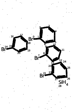 Brc1ccccc1.Brc1ccccc1.Brc1ccccc1.Brc1ccccc1.[SiH4]